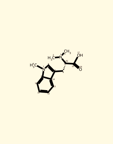 CN(C)[C@@H](Cc1cn(C)c2ccccc12)C(=O)O